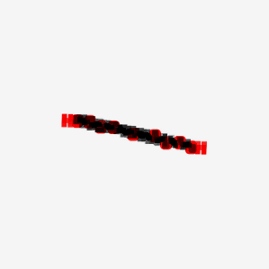 OCCOCCOCCOCCC=COC=CCCOCCOCCOCCO